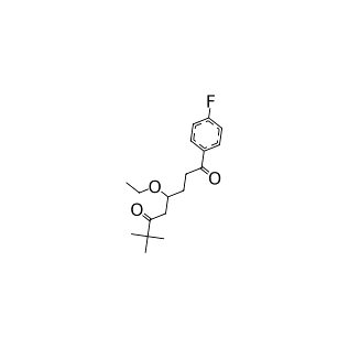 CCOC(CCC(=O)c1ccc(F)cc1)CC(=O)C(C)(C)C